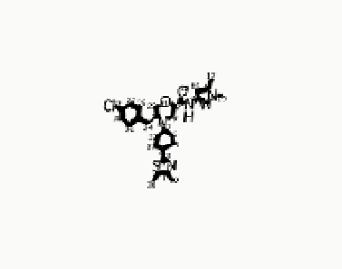 Cc1nc(C2CCC(N3C[C@H](C(=O)Nc4cc(C)n(C)n4)OC[C@@H]3Cc3ccc(Cl)cc3)CC2)sc1C